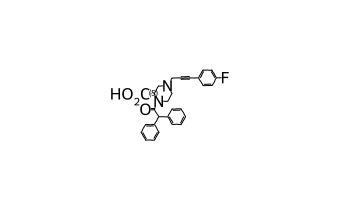 O=C(O)[C@@H]1CN(CC#Cc2ccc(F)cc2)CCN1C(=O)C(c1ccccc1)c1ccccc1